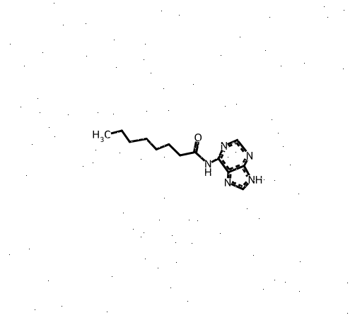 CCCCCCCC(=O)Nc1ncnc2[nH]cnc12